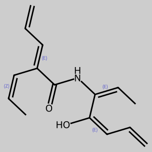 C=C/C=C(\C=C/C)C(=O)NC(=C/C)/C(O)=C\C=C